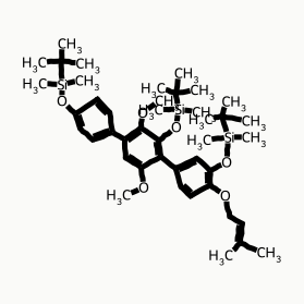 COc1cc(-c2ccc(O[Si](C)(C)C(C)(C)C)cc2)c(OC)c(O[Si](C)(C)C(C)(C)C)c1-c1ccc(OCC=C(C)C)c(O[Si](C)(C)C(C)(C)C)c1